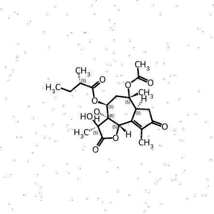 CC[C@H](C)C(=O)O[C@H]1C[C@](C)(OC(C)=O)[C@H]2CC(=O)C(C)=C2[C@@H]2OC(=O)[C@@](C)(O)[C@@]12O